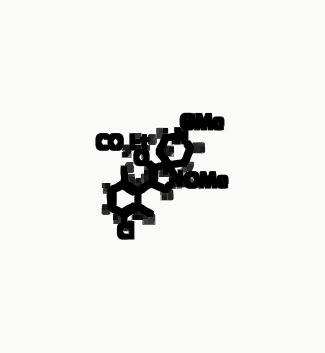 CCOC(=O)OC1=C(c2c(C)ccc(Cl)c2C)CN(OC)C12CCN(OC)CC2